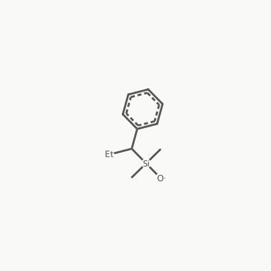 CCC(c1ccccc1)[Si](C)(C)[O]